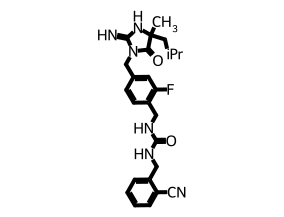 CC(C)CC1(C)NC(=N)N(Cc2ccc(CNC(=O)NCc3ccccc3C#N)c(F)c2)C1=O